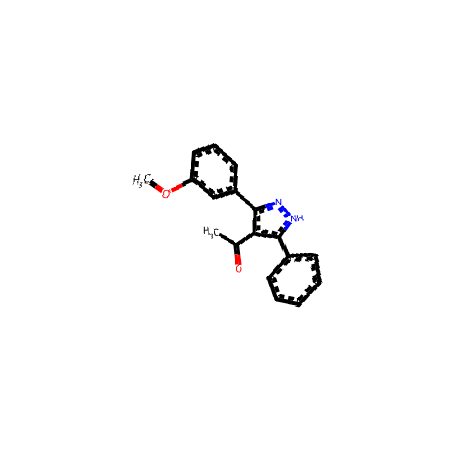 COc1cccc(-c2n[nH]c(-c3ccccc3)c2C(C)=O)c1